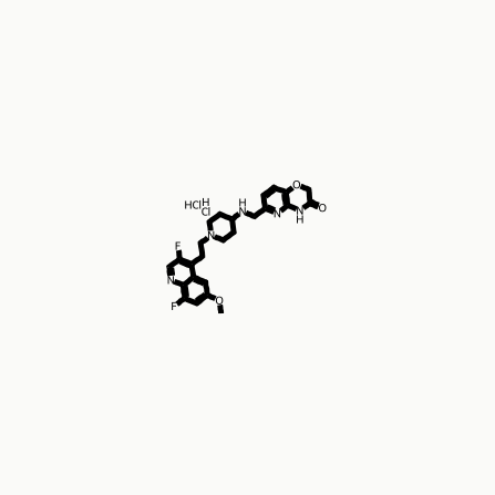 COc1cc(F)c2ncc(F)c(CCN3CCC(NCc4ccc5c(n4)NC(=O)CO5)CC3)c2c1.Cl.Cl